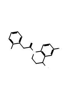 O=C(Cc1ccccc1Cl)N1CCC(O)c2cc(Br)ccc21